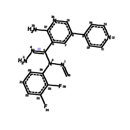 C=NN(/C(=N\N)c1cc(-c2ccncc2)cnc1N)c1cccc(F)c1F